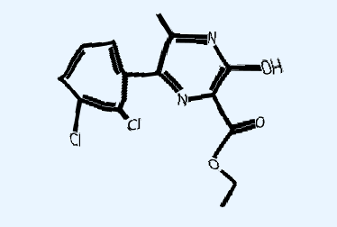 CCOC(=O)c1nc(-c2cccc(Cl)c2Cl)c(C)nc1O